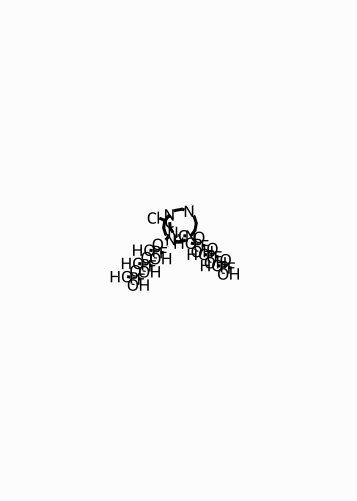 CN1CCC(Cl)N2CCN(C)CCCN(CC1)CCN(C)CC2.O=P(O)(O)F.O=P(O)(O)F.O=P(O)(O)F.O=P(O)(O)F.O=P(O)(O)F.O=P(O)(O)F